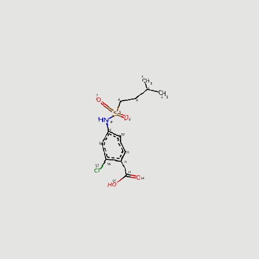 CC(C)CCS(=O)(=O)Nc1ccc(C(=O)O)c(Cl)c1